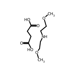 COCCNCCOC.O=C(O)CCC(=O)O